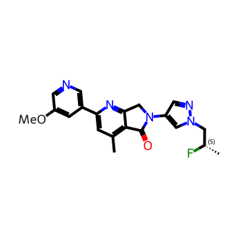 COc1cncc(-c2cc(C)c3c(n2)CN(c2cnn(C[C@H](C)F)c2)C3=O)c1